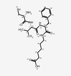 CC(C)[C@H](NC(=O)[C@@H](N)CS)C(=O)N[C@@H](Cc1ccccc1)C(=O)NCCCCCC(=O)O